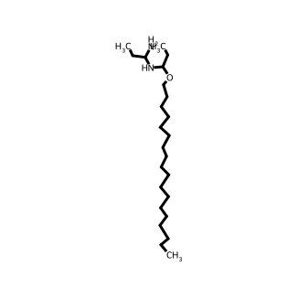 CCCCCCCCCCCCCCCCCCOC(CC)NC(N)CC